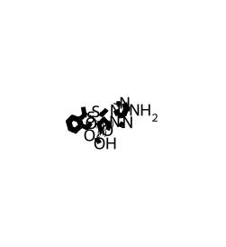 CCSSC(C)c1ccccc1C(=O)O[C@@H]1C[C@H](n2cnc3c(N)ncnc32)O[C@@H]1CO